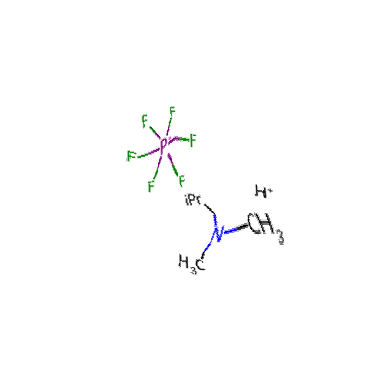 CC(C)N(C)C.F[P-](F)(F)(F)(F)F.[H+]